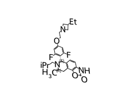 CCC1CN(CCOc2cc(F)c([C@@H]3c4ccc5[nH]c(=O)oc5c4C[C@@H](C)N3CC(C)C)c(F)c2)C1